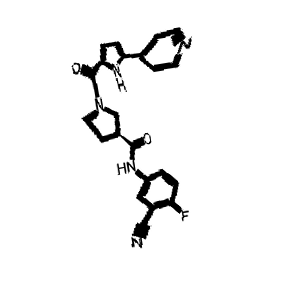 N#Cc1cc(NC(=O)[C@H]2CCN(C(=O)c3ccc(-c4ccncc4)[nH]3)C2)ccc1F